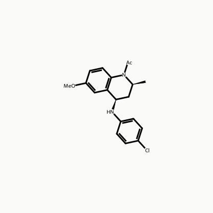 COc1ccc2c(c1)[C@H](Nc1ccc(Cl)cc1)C[C@H](C)N2C(C)=O